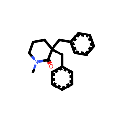 CN1CCCC(Cc2ccccc2)(Cc2ccccc2)C1=O